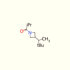 CC(C)C(=O)N1CC(C(C)C(C)(C)C)C1